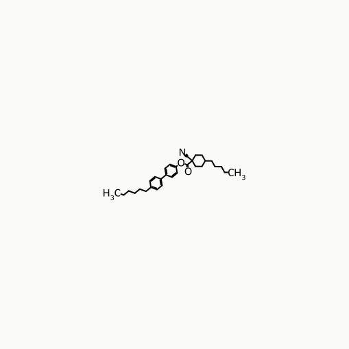 CCCCCCc1ccc(-c2ccc(OC(=O)C3(C#N)CCC(CCCCC)CC3)cc2)cc1